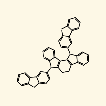 c1ccc2c(c1)sc1ccc(-n3c4c(c5ccccc53)CCc3c-4c4cccnc4n3-c3ccc4sc5ccccc5c4c3)cc12